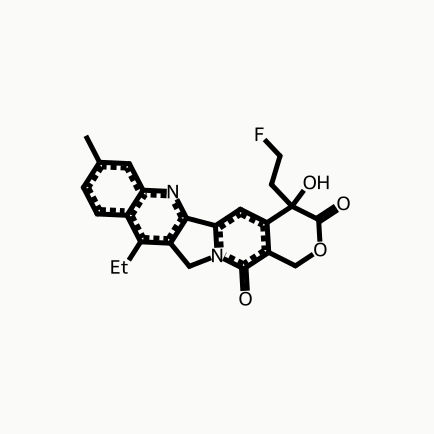 CCc1c2c(nc3cc(C)ccc13)-c1cc3c(c(=O)n1C2)COC(=O)C3(O)CCF